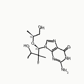 CC(O)C(C)(F)[C@@H](O[C@@H](C)CO)n1cnc2c(=O)[nH]c(N)nc21